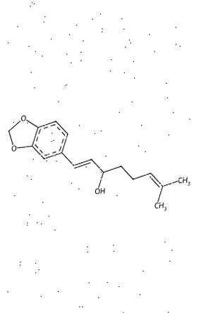 CC(C)=CCCC(O)/C=C/c1ccc2c(c1)OCO2